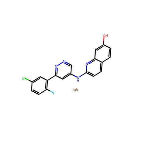 Br.Oc1ccc2ccc(Nc3cnnc(-c4cc(Cl)ccc4F)c3)nc2c1